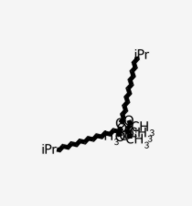 CC(C)CCCCCCCCCCCCCCC(=O)OC(C)C(OC(=O)CCCCCCCCCCCCCCC(C)C)[N+](C)(C)C